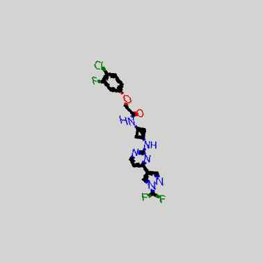 O=C(COc1ccc(Cl)c(F)c1)NC12CC(Nc3nccc(-c4cnn(C(F)F)c4)n3)(C1)C2